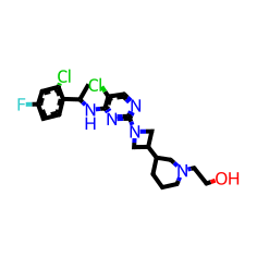 CC(Nc1nc(N2CC(C3CCCN(CCO)C3)C2)ncc1Cl)c1ccc(F)cc1Cl